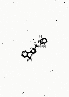 O=C(N[C@@H]1C[C@H]2CC[C@@H]1N2)c1ccc(-c2ccccc2C(F)(F)F)o1